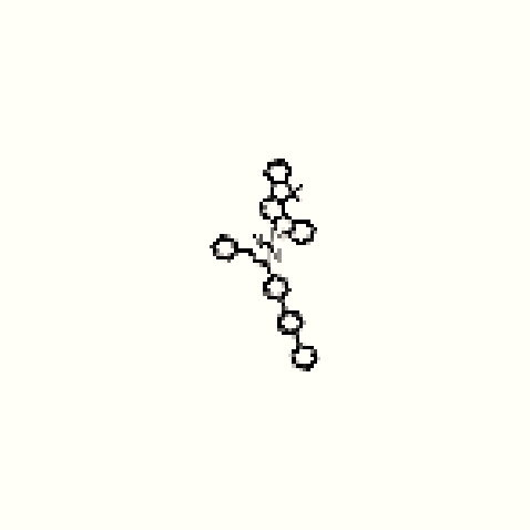 CC1(C)c2ccccc2-c2ccc3c(c21)c1ccccc1n3-c1nc(-c2ccccc2)cc(-c2ccc(-c3ccc(-c4ccccc4)cc3)cc2)n1